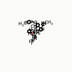 Cc1c(-c2c(-c3cnn(C)c3)ncc3snc(O[C@H](Cc4ccccc4OCc4ccnn4CC(F)(F)F)C(=O)O)c23)ccc(OCCN2CCN(C)CC2)c1Cl